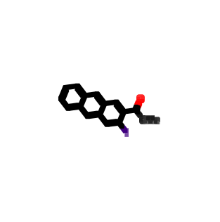 COC(=O)c1cc2cc3ccccc3cc2cc1I